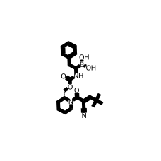 CC(C)(C)C=C(C#N)C(=O)N1CCCC[C@@H]1COC(=O)NC(Cc1ccccc1)B(O)O